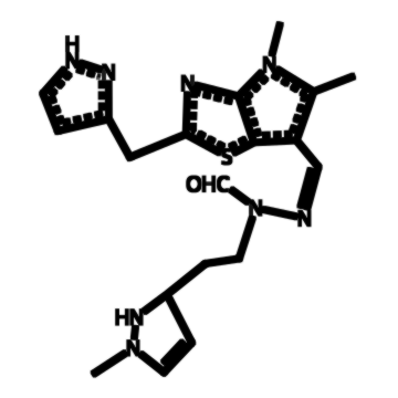 Cc1c(/C=N\N(C=O)CCC2C=CN(C)N2)c2sc(Cc3cc[nH]n3)nc2n1C